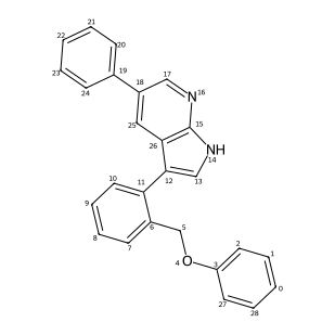 c1ccc(OCc2ccccc2-c2c[nH]c3ncc(-c4ccccc4)cc23)cc1